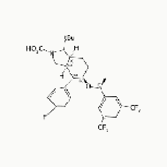 C[C@H](O[C@@H]1CC[C@@H]2C(C(C)(C)C)N(C(=O)O)C[C@@H]2[C@H]1c1ccc(F)cc1)c1cc(C(F)(F)F)cc(C(F)(F)F)c1